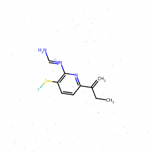 C=C(CC)c1ccc(SF)c(/N=C/N)n1